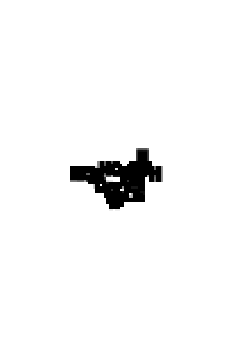 CC(C)(O)COc1cc(-c2ccc(N3C[C@H]4C[C@@H](C3)C4NC(=O)O)nc2)c2c(C#N)cnn2c1